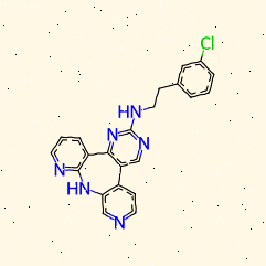 Clc1cccc(CCNc2ncc3c(n2)-c2cccnc2Nc2cnccc2-3)c1